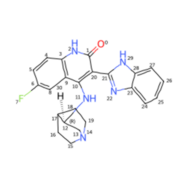 O=c1[nH]c2ccc(F)cc2c(N[C@H]2CN3CCC2CC3)c1-c1nc2ccccc2[nH]1